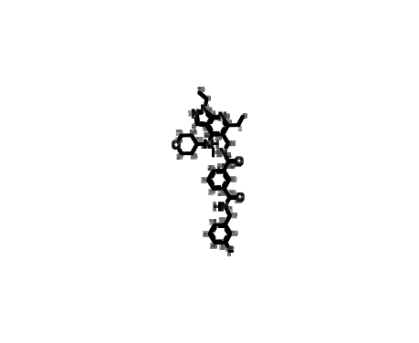 CCc1nc2c(cnn2CC)c(NC2CCOCC2)c1CNC(=O)c1cccc(C(=O)NCc2cccc(F)c2)c1